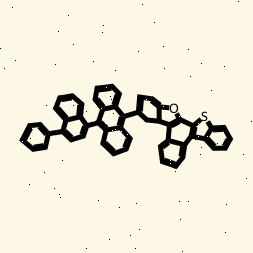 C1=C(c2c3ccccc3c(-c3ccc(-c4ccccc4)c4ccccc34)c3ccccc23)CC2C(=C1)Oc1c2c2ccccc2c2c1sc1ccccc12